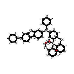 c1ccc(-c2ccc3c(c2)oc2cc(N(c4ccccc4)c4ccc5c(c4)[Si]4(c6ccccc6Oc6ccccc64)c4ccccc4S5)ccc23)cc1